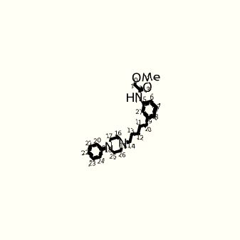 COCC(=O)Nc1cccc(CCCCCN2CCN(c3ccccc3)CC2)c1